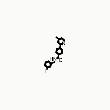 Cc1ccnc(-c2ccc(C(=O)NCc3cccc(F)c3)cc2)c1